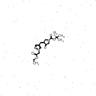 CCOC(=O)Cn1cc(C=C2CN(C(=O)OC(C)(C)C)CC2=O)cn1